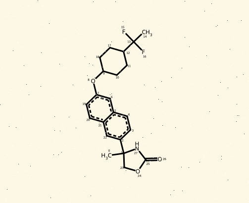 CC1(c2ccc3cc(OC4CCC(C(C)(F)F)CC4)ccc3c2)COC(=O)N1